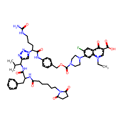 CCn1cc(C(=O)O)c(=O)c2cc(F)c(N3CCN(C(=O)OCc4ccc(NC(=O)C(CCCNC(N)=O)n5cc(C(NC(=O)C(Cc6ccccc6)NC(=O)CCCCCN6C(=O)CCC6=O)C(C)C)nn5)cc4)CC3)cc21